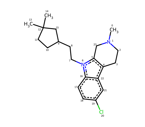 CN1CCc2c(n(CCC3CCC(C)(C)C3)c3ccc(Cl)cc23)C1